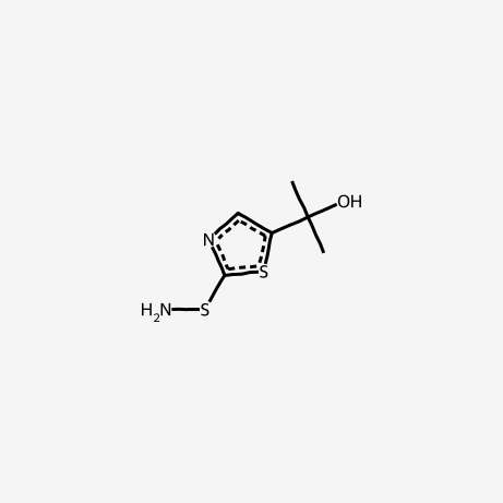 CC(C)(O)c1cnc(SN)s1